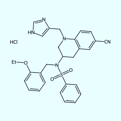 CCOc1ccccc1CN(C1Cc2cc(C#N)ccc2N(Cc2c[nH]cn2)C1)S(=O)(=O)c1ccccc1.Cl